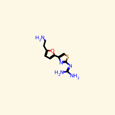 NCCc1ccc(-c2csc(N=C(N)N)n2)o1